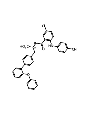 N#Cc1ccc(Nc2ccc(Cl)cc2C(=O)N[C@@H](Cc2ccc(-c3ccccc3Oc3ccccc3)cc2)C(=O)O)cc1